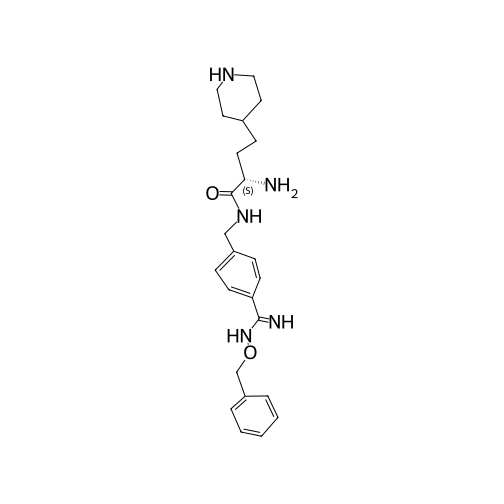 N=C(NOCc1ccccc1)c1ccc(CNC(=O)[C@@H](N)CCC2CCNCC2)cc1